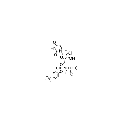 CC(C)OC(=O)[C@H](C)NP(=O)(OC[C@H]1OC(n2ccc(=O)[nH]c2=O)[C@@](F)(Cl)[C@@H]1O)Oc1ccc(C2(C)CC2)cc1